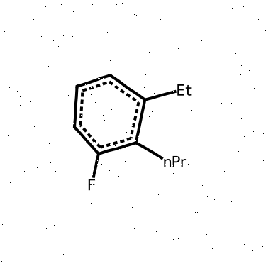 CCCc1c(F)cccc1CC